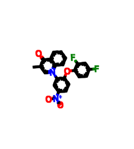 Cc1cn(-c2cc([N+](=O)[O-])ccc2Oc2ccc(F)cc2F)c2ccccc2c1=O